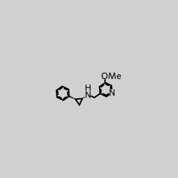 COc1cncc(CN[C@@H]2C[C@H]2c2ccccc2)c1